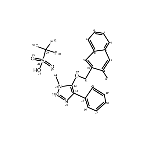 Cc1cc2ccccc2cc1COc1c(-c2ccccc2)nnn1C.O=S(=O)(O)C(F)(F)F